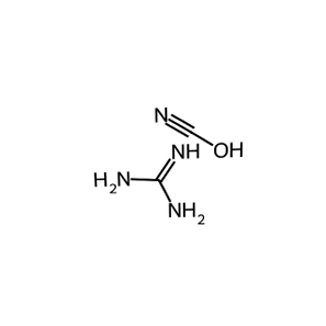 N#CO.N=C(N)N